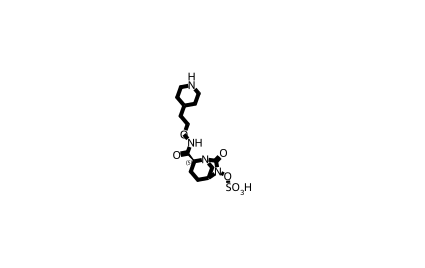 O=C(NOCCC1CCNCC1)[C@@H]1CCC2CN1C(=O)N2OS(=O)(=O)O